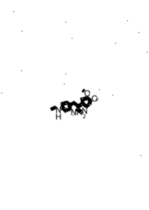 CCNc1ccc(Cc2ccnc3cc(OC)c(OC)cc23)c(N)c1